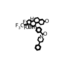 CC12C[C@H](c3ccc(C(=O)N4CCC(c5ccccc5)CC4)cc3)C3=C4CCC(=O)C=C4CCC3[C@@H]1CC[C@@]2(O)C(F)(F)C(F)(F)F